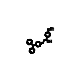 CCOc1ccc(C(O)CCN2CCC(C(c3ccccc3)c3ccccc3)CC2)cc1